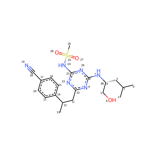 CC(C)C[C@H](CO)Nc1nc(CC(C)c2ccc(C#N)cc2)nc(NS(C)(=O)=O)n1